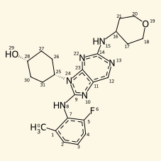 Cc1cccc(F)c1Nc1nc2cnc(NC3CCOCC3)nc2n1[C@H]1CC[C@@H](O)CC1